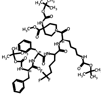 COC(=O)C1(NC(=O)OC(C)(C)C)CCN(C(=O)[C@@H](CCCCNC(=O)OC(C)(C)C)NC(=O)C(CCCC(F)(F)F)NC(=O)[C@@H](Cc2ccccc2)NC(=O)[C@@H](Cc2ccccc2)NC(=O)OC(C)(C)C)CC1